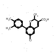 Cc1ccc(-c2cc(Cl)cc3c2OC(C(F)(F)F)C(C(=O)O)=C3)cc1C